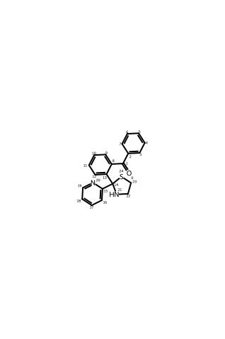 O=C(c1ccccc1)c1ccccc1C1(c2ccccn2)NCCS1